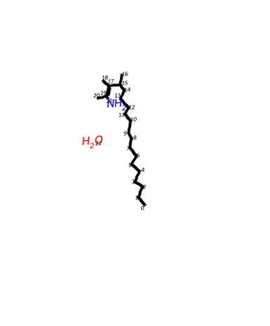 CCCCCCCCCCCCCCCC(C)C(C)=C(C)N.O